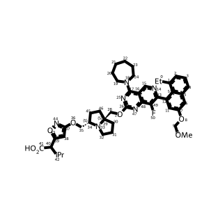 CCc1cccc2cc(OCOC)cc(-c3ncc4c(N5CCCCCC5)nc(OC[C@@]56CCCN5[C@H](COc5cc(C(C(=O)O)C(C)C)on5)CC6)nc4c3F)c12